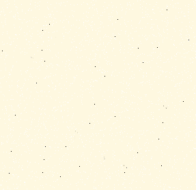 O=C1Nc2ccc([N+](=O)[O-])cc2C1=C(Nc1ccc(CN2CC=CCC2)cc1)c1ccccc1